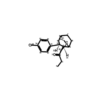 CCC(=O)[C@@H]1C2CCC(C[C@@H]1c1ccc(Cl)cc1)CN2C